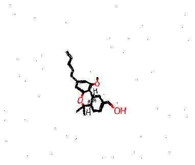 CCCCCc1cc(OC)c2c(c1)OC(C)(C)[C@@H]1CC=C(CO)C[C@@H]21